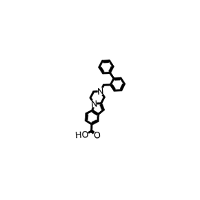 O=C(O)c1ccc2c(c1)cc1n2CCN(Cc2ccccc2-c2ccccc2)C1